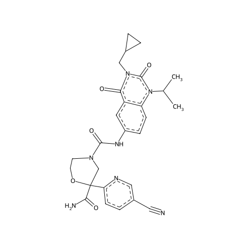 CC(C)n1c(=O)n(CC2CC2)c(=O)c2cc(NC(=O)N3CCOC(C(N)=O)(c4ccc(C#N)cn4)C3)ccc21